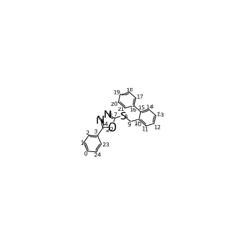 c1ccc(-c2nnc(SCc3ccccc3-c3ccccc3)o2)cc1